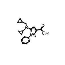 O=C(O)c1cc(N(CC2CC2)C2CC2)n(-c2ccccc2)n1